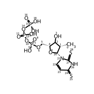 C[C@H]1C(O)[C@@H](COP(=O)(O)OP(=O)(O)OP(=O)(O)O)O[C@H]1n1ccc(=S)[nH]c1=S